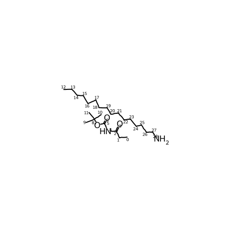 CCC(=O)NC(=O)OC(C)(C)C.CCCCCCCCCCCCCCCCN